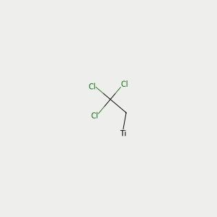 ClC(Cl)(Cl)[CH2][Ti]